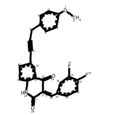 COc1ccc(CC#Cc2ccc3c(c2)C(=O)/C(=C\c2ccc(F)c(F)c2)C(=O)N3)cc1